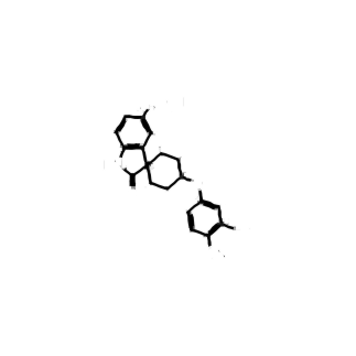 N#Cc1ccc(OC2CCC3(CC2)C(=O)Nc2ccc(C(=O)O)cc23)cc1F